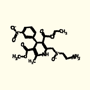 CCOC(=O)C1=C(C[S+]([O-])CCN)NC(C)=C(C(=O)OC)C1c1cccc([N+](=O)[O-])c1